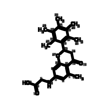 Cc1cc(NCC(=O)O)cc2c1C(=O)CC(c1c(C)c(C)c(C)c(C)c1C)O2